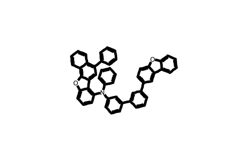 c1ccc(-c2cc3c(oc4cccc(N(c5ccccc5)c5cccc(-c6cccc(-c7ccc8oc9ccccc9c8c7)c6)c5)c43)c3ccccc23)cc1